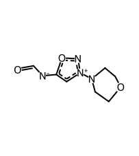 O=C[N-]c1c[n+](N2CCOCC2)no1